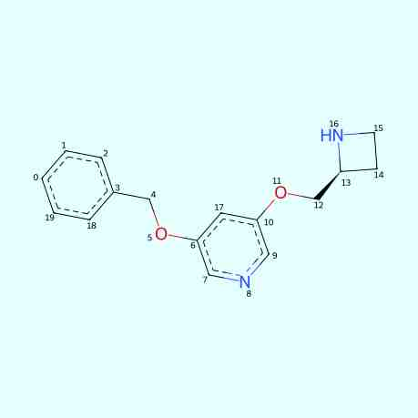 c1ccc(COc2cncc(OC[C@@H]3CCN3)c2)cc1